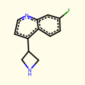 Fc1ccc2c(C3CNC3)ccnc2c1